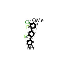 CCCC1CC=C(c2ccc(-c3ccc(OC)c(Cl)c3F)cc2F)CC1